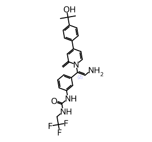 C=C1C=C(c2ccc(C(C)(C)O)cc2)C=CN1/C(=C\N)c1cccc(NC(=O)NCC(F)(F)F)c1